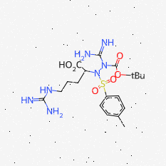 Cc1ccc(S(=O)(=O)N(C(CCCNC(=N)N)C(=O)O)N(C(=N)N)C(=O)OC(C)(C)C)cc1